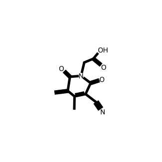 C=C1C(=O)N(CC(=O)O)C(=O)C(C#N)=C1C